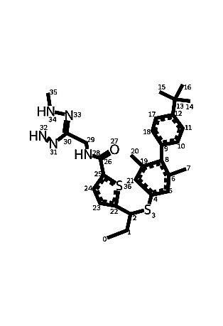 CCC(Sc1cc(C)c(-c2ccc(C(C)(C)C)cc2)c(C)c1)c1ccc(C(=O)NC/C(N=N)=N/NC)s1